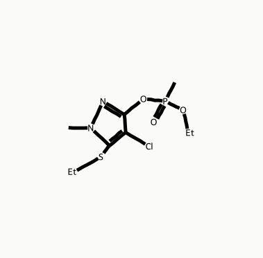 CCOP(C)(=O)Oc1nn(C)c(SCC)c1Cl